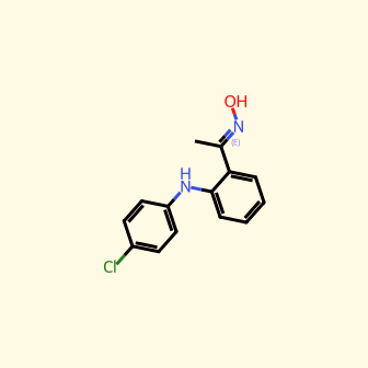 C/C(=N\O)c1ccccc1Nc1ccc(Cl)cc1